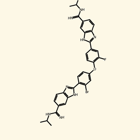 CC(C)NC(=N)c1ccc2nc(-c3ccc(Oc4ccc(-c5nc6ccc(C(=N)NC(C)C)cc6[nH]5)c(Br)c4)c(F)c3)[nH]c2c1